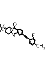 Cc1ccc(C#Cc2ccc3c(=O)n4c(nc3c2)CCC(C)(C)C4)c(F)c1